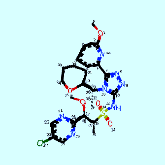 COc1cccc(-c2nnc(NS(=O)(=O)[C@@H](C)[C@H](OC)c3ncc(Cl)cn3)n2[C@H](C)C2CCCCO2)n1